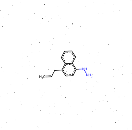 C=CCc1ccc(NN)c2ccccc12